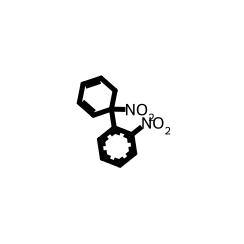 O=[N+]([O-])c1ccccc1C1([N+](=O)[O-])C=CC=CC1